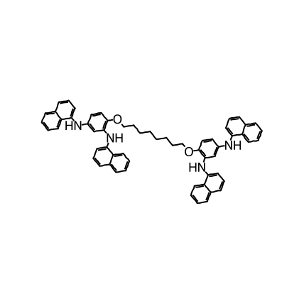 c1ccc2c(Nc3ccc(OCCCCCCCCOc4ccc(Nc5cccc6ccccc56)cc4Nc4cccc5ccccc45)c(Nc4cccc5ccccc45)c3)cccc2c1